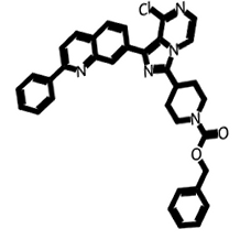 O=C(OCc1ccccc1)N1CCC(c2nc(-c3ccc4ccc(-c5ccccc5)nc4c3)c3c(Cl)nccn23)CC1